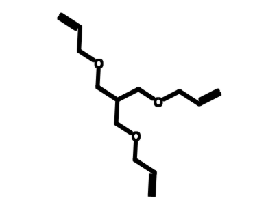 C=CCOCC(COCC=C)COCC=C